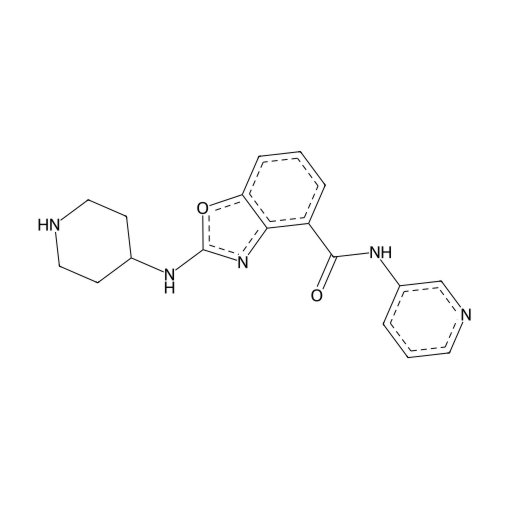 O=C(Nc1cccnc1)c1cccc2oc(NC3CCNCC3)nc12